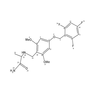 COc1cc(OCc2c(F)cc(F)cc2F)cc(OC)c1CNC(C)C(N)=O